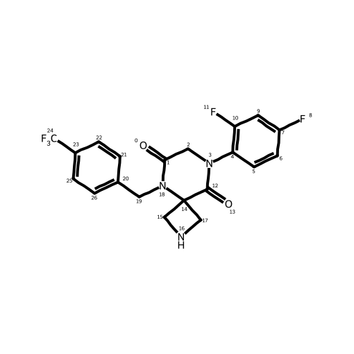 O=C1CN(c2ccc(F)cc2F)C(=O)C2(CNC2)N1Cc1ccc(C(F)(F)F)cc1